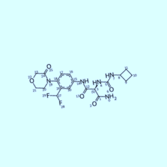 NC(=O)[C@H](NC(=O)NC1CCC1)C(=O)Nc1ccc(N2CCOCC2=O)c(C(F)F)c1